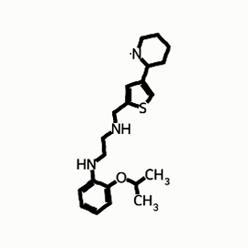 CC(C)Oc1ccccc1NCCNCc1cc(C2CCCC[N]2)cs1